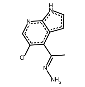 C/C(=N\N)c1c(Cl)cnc2[nH]ccc12